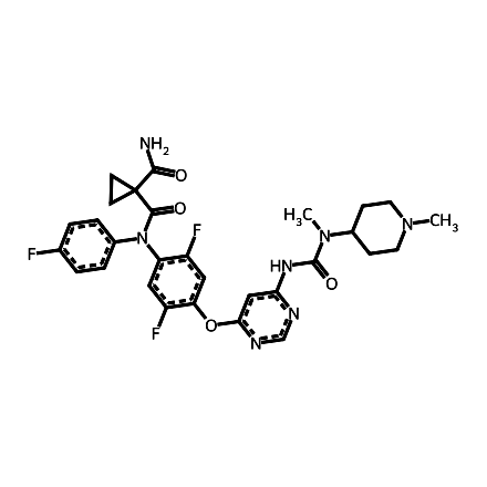 CN1CCC(N(C)C(=O)Nc2cc(Oc3cc(F)c(N(C(=O)C4(C(N)=O)CC4)c4ccc(F)cc4)cc3F)ncn2)CC1